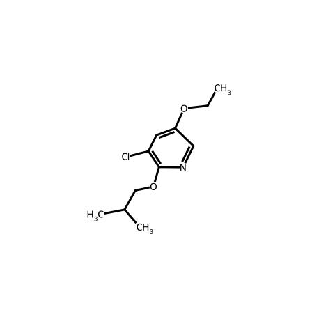 CCOc1cnc(OCC(C)C)c(Cl)c1